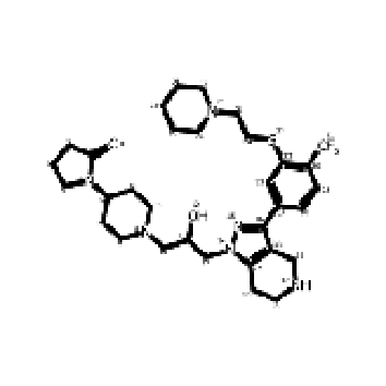 O=C1CCCN1C1CCN(CC(O)Cn2nc(-c3ccc(C(F)(F)F)c(SCCN4CCCCC4)c3)c3c2CCNC3)CC1